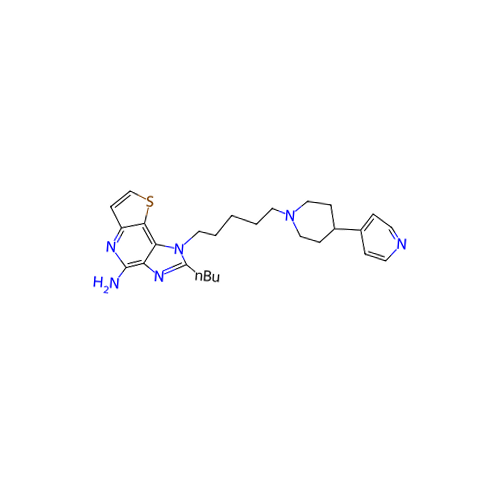 CCCCc1nc2c(N)nc3ccsc3c2n1CCCCCN1CCC(c2ccncc2)CC1